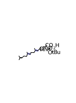 CC(C)=CCC/C(C)=C/CC/C(C)=C/COCC(NC(=O)OC(C)(C)C)C(=O)O